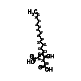 CCCCCCCCCCCCC/C=C(\SCC(=O)O)C(O)CCC(=O)O